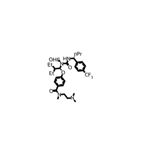 CCC[C@@H](NC(=O)N(C=O)[C@@H](Oc1ccc(C(=O)N(C)CCN(C)C)cc1)C(CC)CC)c1ccc(C(F)(F)F)cc1